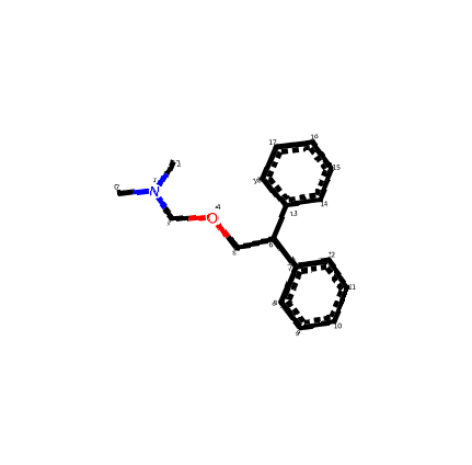 CN(C)COCC(c1ccccc1)c1ccccc1